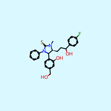 CN1C(=S)N(c2ccccc2)C(c2ccc(CO)cc2O)[C@@H]1CCC(O)c1ccc(F)cc1